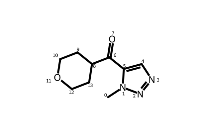 Cn1nncc1C(=O)C1CCOCC1